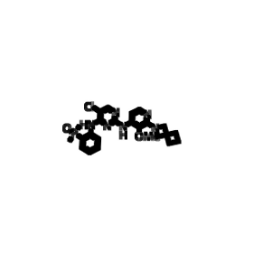 COc1c(Nc2ncc(Cl)c(Nc3ccccc3P(C)(C)=O)n2)ccnc1N1CC2(CCC2)C1